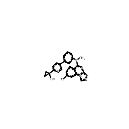 CN(c1cccc(-c2ccc(C3(C#N)CC3)nc2)c1)c1nc2nncn2c2cc(Cl)ccc12